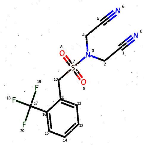 N#CCN(CC#N)S(=O)(=O)Cc1ccccc1C(F)(F)F